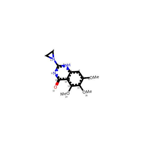 COc1cc2[nH]c(N3CC3)nc(=O)c2c(OC)c1OC